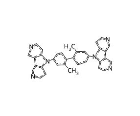 Cc1cc(-n2c3ccncc3c3cnccc32)ccc1-c1ccc(-n2c3ccncc3c3cnccc32)cc1C